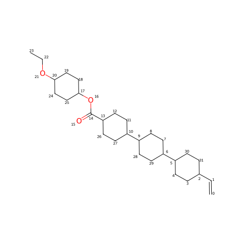 C=CC1CCC(C2CCC(C3CCC(C(=O)OC4CCC(OCC)CC4)CC3)CC2)CC1